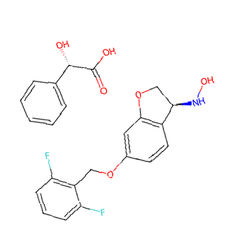 O=C(O)[C@@H](O)c1ccccc1.ON[C@@H]1COc2cc(OCc3c(F)cccc3F)ccc21